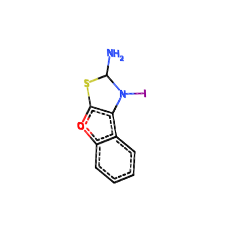 NC1Sc2oc3ccccc3c2N1I